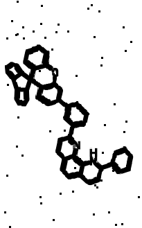 C1=CC(c2ccccc2)Nc2c1ccc1ccc(-c3cccc(-c4ccc5c(c4)Oc4ccccc4C54c5ccccc5-c5ccccc54)c3)nc21